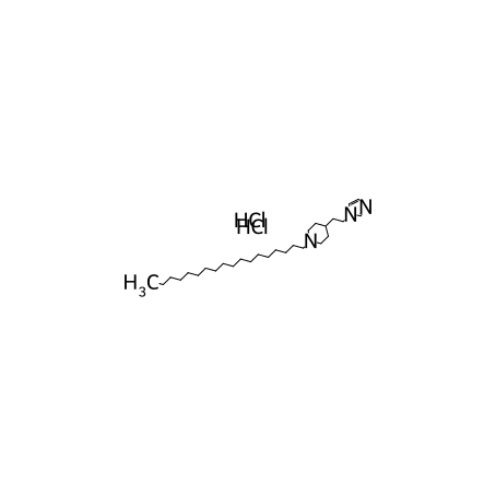 CCCCCCCCCCCCCCCCCCN1CCC(CCn2ccnc2)CC1.Cl.Cl